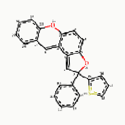 C1=c2c(ccc3c2=CC(c2ccccc2)(c2cccs2)O3)Oc2ccccc21